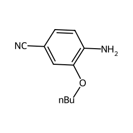 CCCCOc1cc(C#N)ccc1N